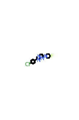 FC1CCN(c2ccn3cc(-c4ccc(Cl)cc4)nc3n2)CC1